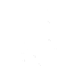 CCOC(=O)Cn1c(Cl)cnc1CCC(=O)N1CCC(N2CCOCC2)CC1